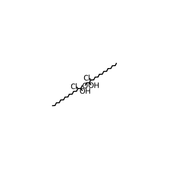 CCCCCCCCCCCCC(Cl)C(O)COCC(O)C(Cl)CCCCCCCCCCCC